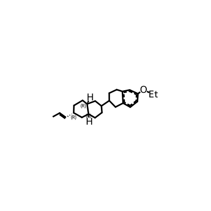 CC=C[C@@H]1CC[C@@H]2CC(C3CCc4cc(OCC)ccc4C3)CC[C@@H]2C1